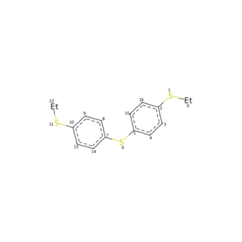 CCSc1ccc(Sc2ccc(SCC)cc2)cc1